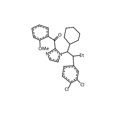 [CH2]CC(c1ccc(Cl)c(Cl)c1)C(C1CCCCC1)n1ccnc1C(=O)c1ccccc1OC